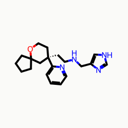 c1ccc([C@]2(CCNCc3c[nH]cn3)CCOC3(CCCC3)C2)nc1